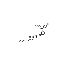 CCCCCC[C@@H](O)CN1CCC(COc2cccc(C(=NOC)c3ccc(Cl)cc3)c2)CC1